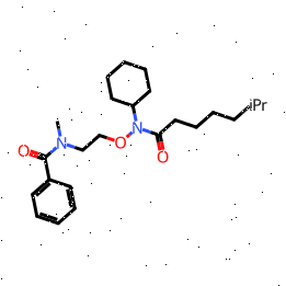 CC(C)CCCCC(=O)N(OCCN(C)C(=O)c1ccccc1)C1CCCCC1